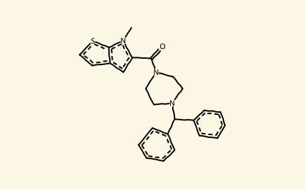 Cn1c(C(=O)N2CCN(C(c3ccccc3)c3ccccc3)CC2)cc2ccsc21